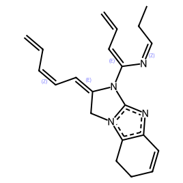 C=C/C=C\C=C1/Cn2c(nc3c2CCC=C3)N1C(=C/C=C)/N=C\CC